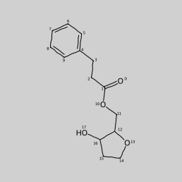 O=C(CCc1ccccc1)OCC1OCCC1O